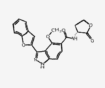 COc1c(C(=O)N[C@@H]2CCOC2=O)ccc2[nH]nc(-c3cc4ccccc4o3)c12